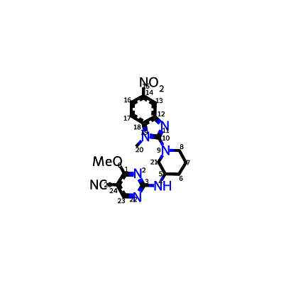 COc1nc(NC2CCCN(c3nc4cc([N+](=O)[O-])ccc4n3C)C2)ncc1C#N